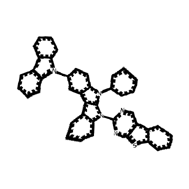 c1ccc(-n2c3ccc(-n4c5ccccc5c5ccccc54)cc3c3c4ccccc4n(-c4ncc5c(n4)sc4ccccc45)c32)cc1